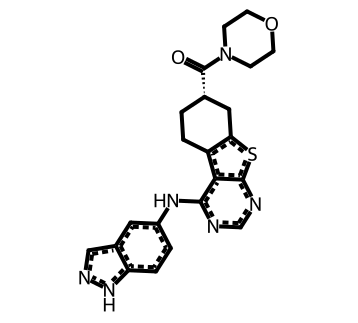 O=C([C@H]1CCc2c(sc3ncnc(Nc4ccc5[nH]ncc5c4)c23)C1)N1CCOCC1